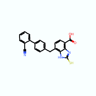 N#Cc1ccccc1-c1ccc(Cc2ccc(C(=O)O)c3nc(S)[nH]c23)cc1